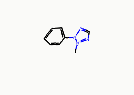 C[n+]1ncnn1-c1ccccc1